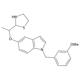 COc1cccc(Cn2ccc3cc(OC(C)C4NCCS4)ccc32)c1